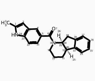 Cc1cc2cc(C(=O)N3CCC[C@@H]4c5ccccc5C[C@@H]43)ccc2[nH]1